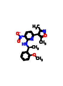 COc1ccccc1[C@H](C)Nc1nc(-c2c(C)noc2C)ccc1[N+](=O)[O-]